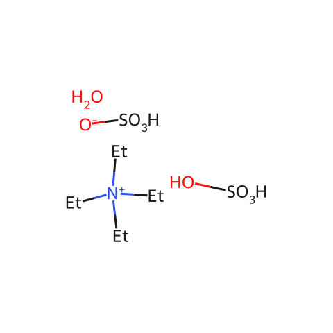 CC[N+](CC)(CC)CC.O.O=S(=O)(O)O.O=S(=O)([O-])O